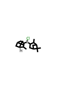 CC1C(B(Cl)C2CC3C[C@H](C2C)C3(C)C)CC2CC1C2(C)C